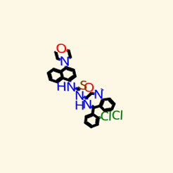 CN1C(=O)C(NC(=S)Nc2ccc(N3CCOCC3)c3ccccc23)N=C(c2ccccc2Cl)c2cc(Cl)ccc21